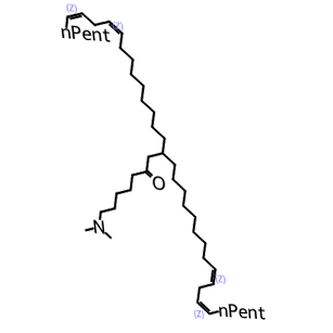 CCCCC/C=C\C/C=C\CCCCCCCCC(CCCCCCCC/C=C\C/C=C\CCCCC)CC(=O)CCCCCN(C)C